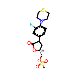 CS(=O)(=O)OC[C@H]1CC(c2ccc(N3CCSCC3)c(F)c2)C(=O)O1